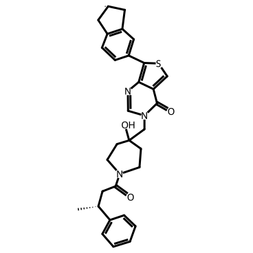 C[C@H](CC(=O)N1CCC(O)(Cn2cnc3c(-c4ccc5c(c4)C[CH]C5)scc3c2=O)CC1)c1ccccc1